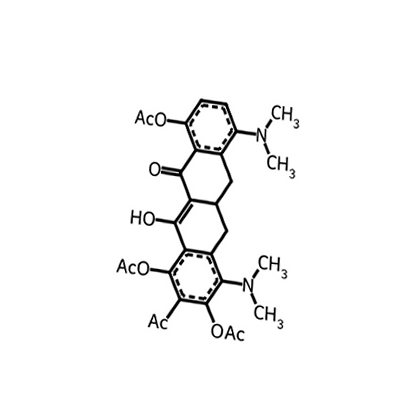 CC(=O)Oc1ccc(N(C)C)c2c1C(=O)C1=C(O)c3c(c(N(C)C)c(OC(C)=O)c(C(C)=O)c3OC(C)=O)CC1C2